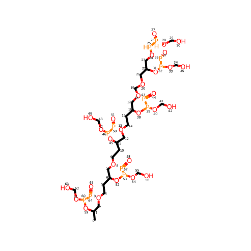 CC(COCCC(COCCC(COCCC(COCOCC(COP[PH](=O)OCO)OP(OCO)P=O)OP(OCO)P=O)OP(OCO)P=O)OP(OCO)P=O)OP(OCO)P=O